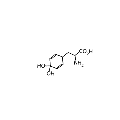 NC(CC1C=CC(O)(O)C=C1)C(=O)O